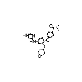 CN(C)C(=O)c1ccc(Oc2ccc(Nc3c[nH]cn3)cc2CC2CCOCC2)cc1